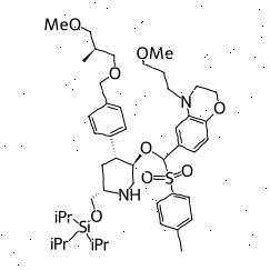 COCCCN1CCOc2ccc(C(O[C@H]3CN[C@H](CO[Si](C(C)C)(C(C)C)C(C)C)C[C@@H]3c3ccc(COC[C@@H](C)COC)cc3)S(=O)(=O)c3ccc(C)cc3)cc21